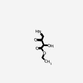 CCOC(=O)C(O)C(=O)C=N